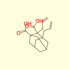 C=CCC12CC3CC(C1)CC(C(=O)O)(C3)C2(CC=C)C(=O)O